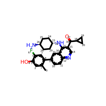 Cc1cc(O)c(F)cc1-c1ccc2ncc(C(=O)C3CC3)c(N[C@H]3CC[C@H](N)CC3)c2c1